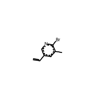 C=Cc1cnc(Br)c(C)c1